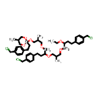 CCOC(CCc1ccc(CCl)cc1)[SiH2]OCC(C)COC(CCc1ccc(CCl)cc1)[SiH2]OCC(C)CO[Si]1(CCc2ccc(CCl)cc2)OCC(C)CO1